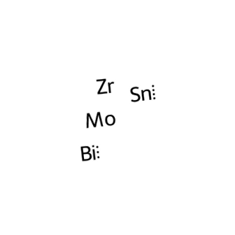 [Bi].[Mo].[Sn].[Zr]